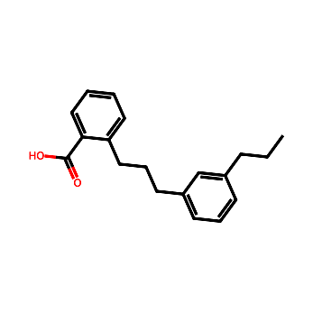 CCCc1cccc(CCCc2ccccc2C(=O)O)c1